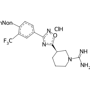 CCCCCCCCCc1ccc(-c2noc([C@@H]3CCCN(C(=N)N)C3)n2)cc1C(F)(F)F.Cl